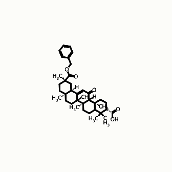 CC1(C)C2CC[C@]3(C)[C@H](C(=O)C=C4[C@@H]5C[C@@](C)(C(=O)OCc6ccccc6)CC[C@]5(C)CC[C@]43C)[C@@]2(C)CC[C@@H]1C(=O)O